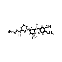 CCCc1cc(N2CCC[C@@H](NCCC(C)C)C2)nc(Nc2ccc(C)c(C#N)c2)n1